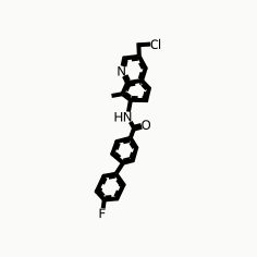 Cc1c(NC(=O)c2ccc(-c3ccc(F)cc3)cc2)ccc2cc(CCl)cnc12